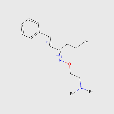 CCN(CC)CCO/N=C(/C=C/c1ccccc1)CCC(C)C